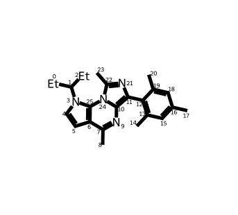 CCC(CC)n1ccc2c(C)nc3c(-c4c(C)cc(C)cc4C)nc(C)n3c21